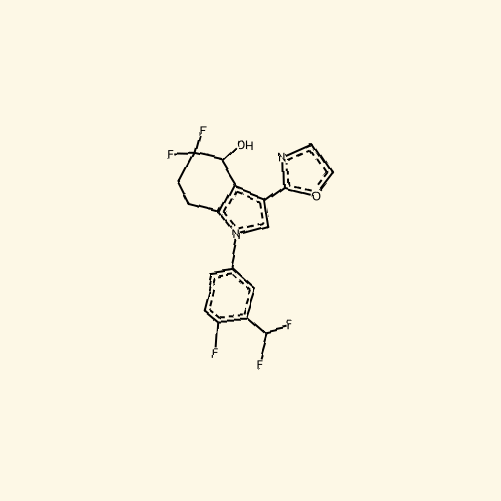 OC1c2c(-c3ncco3)cn(-c3ccc(F)c(C(F)F)c3)c2CCC1(F)F